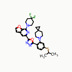 CC(C)Sc1ccc(-c2nnc(-c3cc4ccoc4c(N4CCC(F)(F)CC4)n3)o2)c(N2CCC3(CC2)CC3)c1